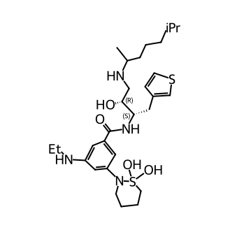 CCNc1cc(C(=O)N[C@@H](Cc2ccsc2)[C@H](O)CNC(C)CCCC(C)C)cc(N2CCCCS2(O)O)c1